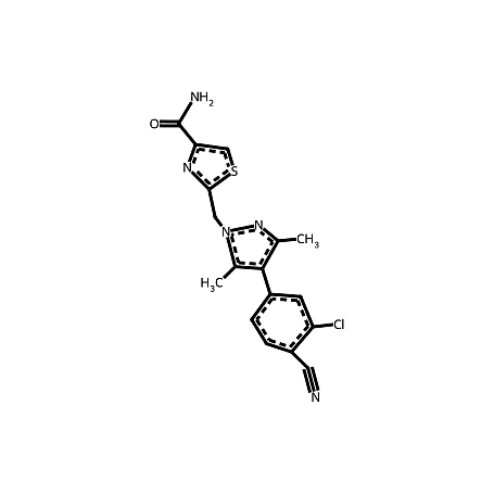 Cc1nn(Cc2nc(C(N)=O)cs2)c(C)c1-c1ccc(C#N)c(Cl)c1